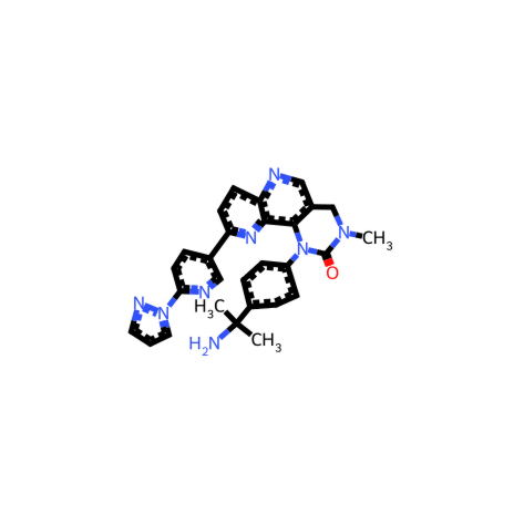 CN1Cc2cnc3ccc(-c4ccc(-n5cccn5)nc4)nc3c2N(c2ccc(C(C)(C)N)cc2)C1=O